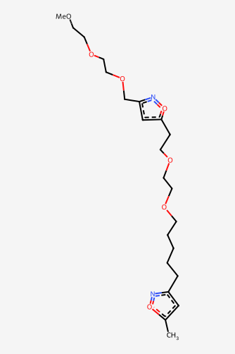 COCCOCCOCc1cc(CCOCCOCCCCCc2cc(C)on2)on1